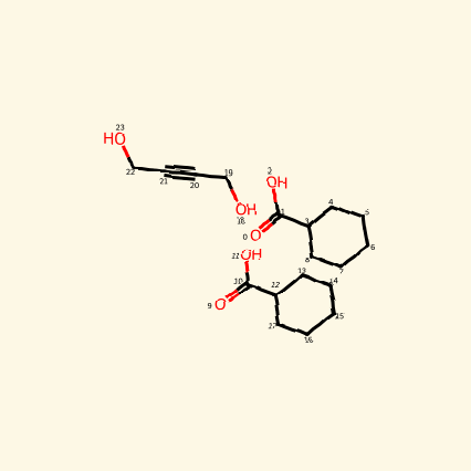 O=C(O)C1CCCCC1.O=C(O)C1CCCCC1.OCC#CCO